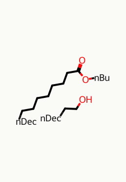 CCCCCCCCCCCCCCCCCC(=O)OCCCC.CCCCCCCCCCCCO